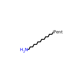 CCCC(C)CCCCCCCCCCCCCN